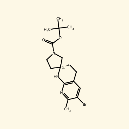 Cc1nc2c(cc1Br)CC[C@@]1(CCN(C(=O)OC(C)(C)C)C1)N2